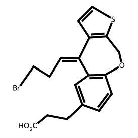 O=C(O)CCc1ccc2c(c1)/C(=C\CCBr)c1ccsc1CO2